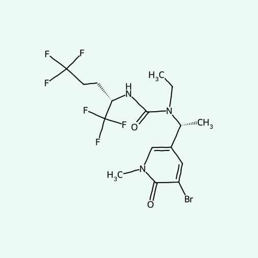 CCN(C(=O)N[C@@H](CCC(F)(F)F)C(F)(F)F)[C@H](C)c1cc(Br)c(=O)n(C)c1